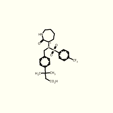 CC(C)(CC(=O)O)c1ccc(CN([C@@H]2CCCCNC2=O)S(=O)(=O)c2ccc(C(F)(F)F)cc2)cc1